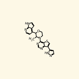 CC1C(c2ccnc3[nH]ccc23)OCCN1c1ncnc2c(-c3ccn[nH]3)csc12